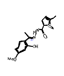 COc1ccc(/C(C)=N/NC(=O)c2ccc(C)s2)c(O)c1